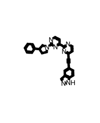 C(#Cc1ccnc(-c2ccnc(N3CCC(c4ccccc4)C3)n2)n1)c1ccc2[nH]ncc2c1